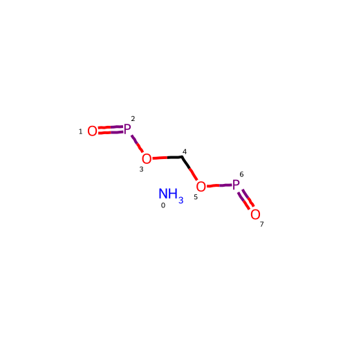 N.O=POCOP=O